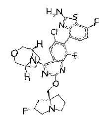 Nc1nc2c(-c3c(Cl)cc4c(N5[C@@H]6CC[C@H]5COC6)nc(OC[C@@]56CCCN5C[C@H](F)C6)nc4c3F)ccc(F)c2s1